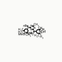 CCCCN(c1nc(C)nc(N(CCCC)C2CC(C)(C)N(OC)C(C)(C)C2)n1)C1CC(C)(C)N(O)C(C)(C)C1